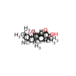 CC1(C)CC[C@]2(C#N)CC[C@]3(C)C(C(=O)C=C4[C@@]5(C)[C@H]6O[C@@]6(C#N)C(O)C(C)(C)[C@@H]5CC[C@]43C)C2C1